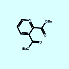 CC(C)COC(=O)c1cccnc1C(=O)OCC(C)C